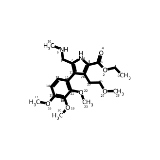 CCOC(=O)c1[nH]c(CNC)c(-c2ccc(OC)c(OC)c2OC)c1CCOC